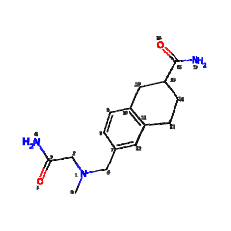 CN(CC(N)=O)Cc1ccc2c(c1)CCC(C(N)=O)C2